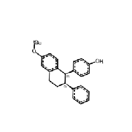 CC(C)(C)Oc1ccc2c(c1)CC[C@H](c1ccccc1)[C@@H]2c1ccc(O)cc1